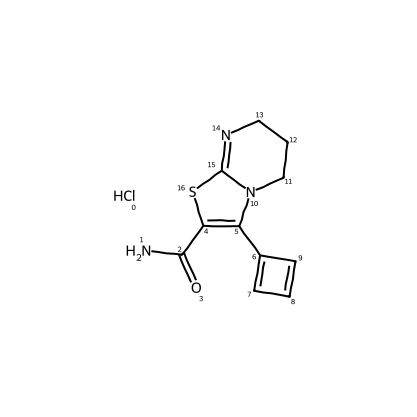 Cl.NC(=O)C1=C(C2=CC=C2)N2CCCN=C2S1